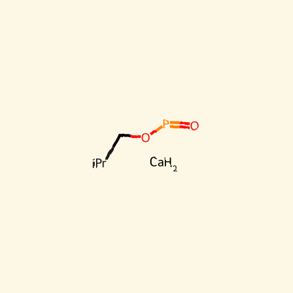 CC(C)COP=O.[CaH2]